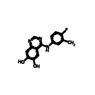 Cc1cc(Nc2ncnc3cc(O)c(O)cc23)ccc1F